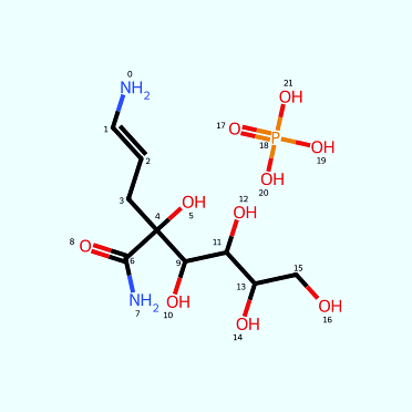 NC=CCC(O)(C(N)=O)C(O)C(O)C(O)CO.O=P(O)(O)O